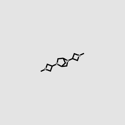 CN1CC(N2CC3CC2CN3C2CN(C)C2)C1